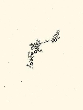 CN(C(=O)[C@@H]1C[C@@H](N2CCC[C@H]2C(=O)O)CN1C(=O)[C@@H](NC(=O)COCCOCCOCCNc1cccc2c1C(=O)N(C1CCC(=O)NC1=O)C2=O)C(C)(C)C)c1ccc(-n2cc(NC(=O)c3coc(-c4ccnc(N(C)C5CC5)c4)n3)c(C(F)F)n2)cc1